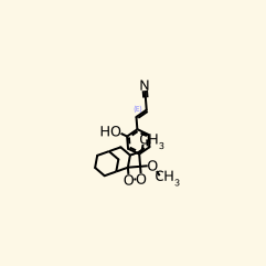 CCC1CC2CCCC(C2)C12OOC2(OC)c1ccc(/C=C/C#N)c(O)c1